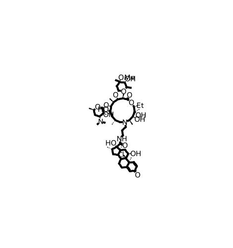 CC[C@H]1OC(=O)[C@H](C)[C@@H](O[C@@H]2C[C@](C)(OC)[C@H](O)C(C)O2)[C@H](C)[C@@H](O[C@@H]2O[C@H](C)C[C@@H](N(C)C)[C@H]2O)[C@](C)(O)C[C@@H](C)CN(CCCNC(=O)[C@@]2(O)[C@@H](C)CC3C4CCC5=CC(=O)C=C[C@]5(C)[C@@]4(Cl)[C@@H](O)C[C@@]32C)[C@H](C)[C@@H](O)[C@]1(C)O